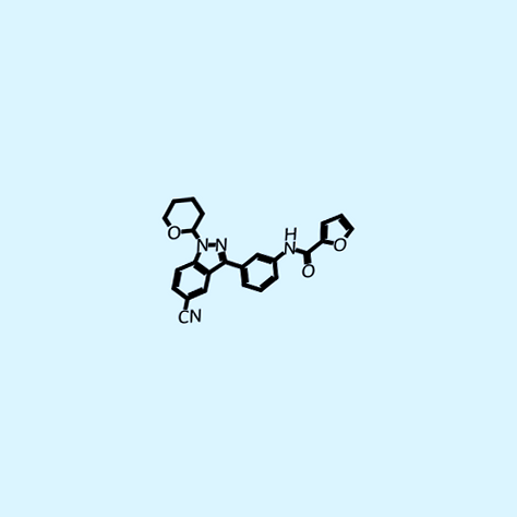 N#Cc1ccc2c(c1)c(-c1cccc(NC(=O)c3ccco3)c1)nn2C1CCCCO1